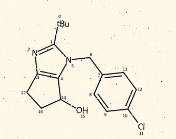 CC(C)(C)c1nc2c(n1Cc1ccc(Cl)cc1)C(O)CC2